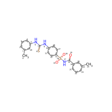 Cc1cccc(NC(=S)Nc2ccc(S(=O)(=O)NC(=O)c3cccc(C)c3)cc2)c1